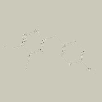 CC(=O)Oc1cnc(Cc2ccc([N+](=O)[O-])cc2)nc1Cl